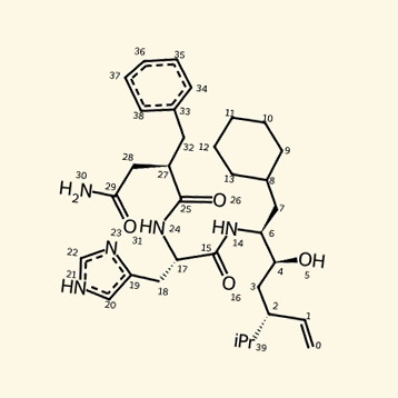 C=C[C@@H](C[C@H](O)[C@H](CC1CCCCC1)NC(=O)[C@H](Cc1c[nH]cn1)NC(=O)[C@@H](CC(N)=O)Cc1ccccc1)C(C)C